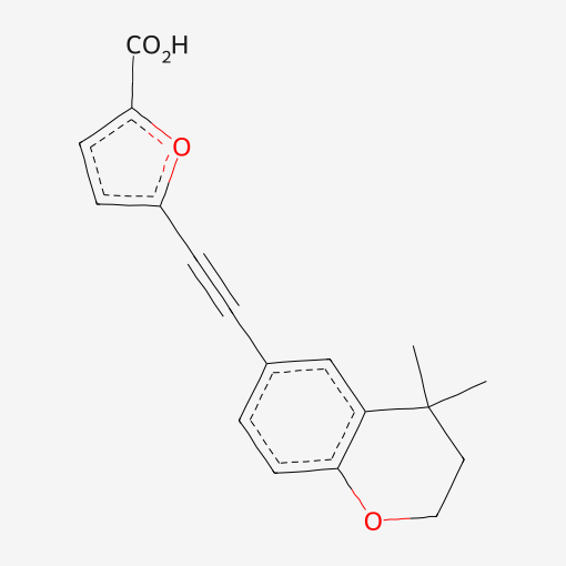 CC1(C)CCOc2ccc(C#Cc3ccc(C(=O)O)o3)cc21